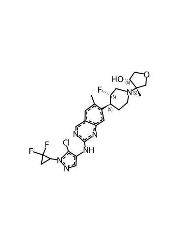 Cc1cc2cnc(Nc3cnn(C4CC4(F)F)c3Cl)nc2cc1[C@@H]1CCN([C@@]2(C)COC[C@H]2O)C[C@H]1F